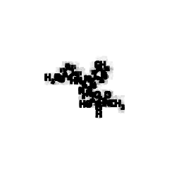 CNC(=O)C1OC(n2cnc3c(NCc4cccc(OC)c4)nc(-c4cncc(C)c4)nc32)C(O)C1O